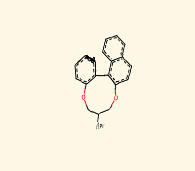 CCCC1COc2ccc3ccccc3c2-c2c(ccc3ccccc23)OC1